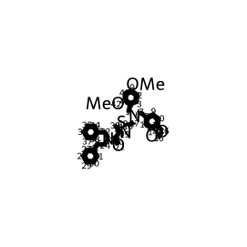 COc1ccc(CN(Cc2ccc3c(c2)OCO3)Cc2nc(C(=O)N(CCc3ccccc3)Cc3ccccc3)cs2)c(OC)c1